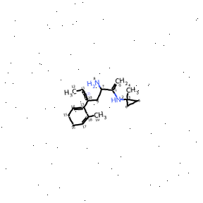 C=C(NC1(C)CC1)C(N)C/C(=C/C)C1=CCCC=C1C